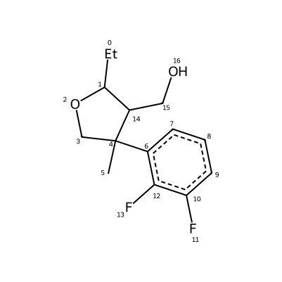 CCC1OCC(C)(c2cccc(F)c2F)C1CO